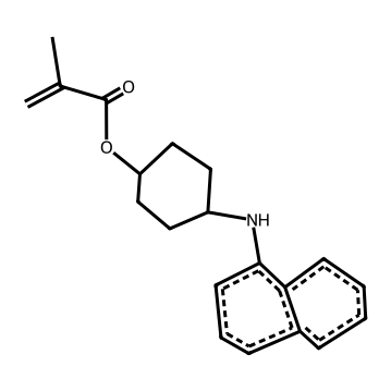 C=C(C)C(=O)OC1CCC(Nc2cccc3ccccc23)CC1